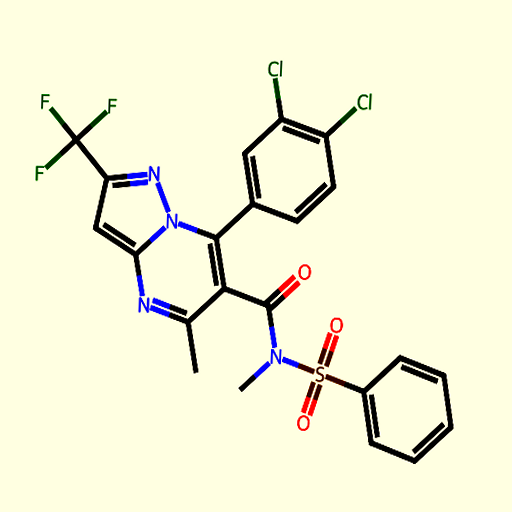 Cc1nc2cc(C(F)(F)F)nn2c(-c2ccc(Cl)c(Cl)c2)c1C(=O)N(C)S(=O)(=O)c1ccccc1